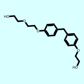 OCCOCCOc1ccc(Cc2ccc(OCCO)cc2)cc1